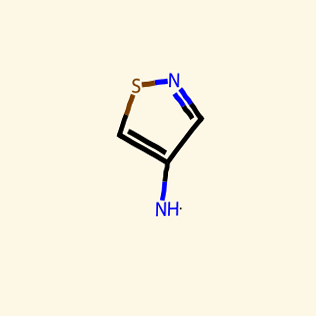 [NH]c1cnsc1